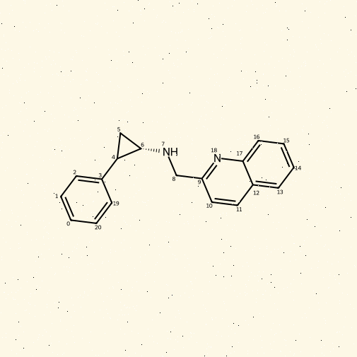 c1ccc(C2C[C@@H]2NCc2ccc3ccccc3n2)cc1